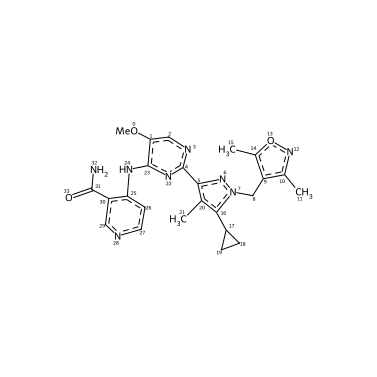 COc1cnc(-c2nn(Cc3c(C)noc3C)c(C3CC3)c2C)nc1Nc1ccncc1C(N)=O